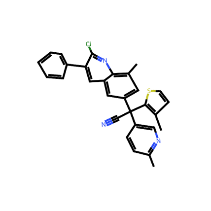 Cc1ccc(C(C#N)(c2cc(C)c3nc(Cl)c(-c4ccccc4)cc3c2)c2sccc2C)cn1